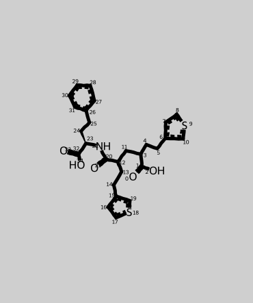 O=C(O)C(CCc1ccsc1)CC(CCc1ccsc1)C(=O)N[C@H](CCc1ccccc1)C(=O)O